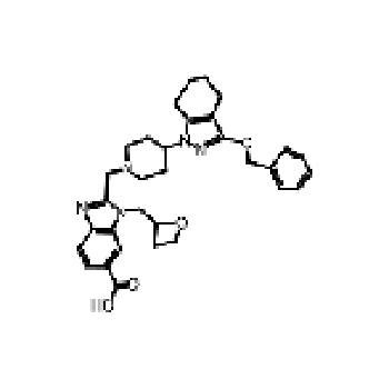 O=C(O)c1ccc2nc(CN3CCC(n4nc(OCc5ccccc5)c5c4CCCC5)CC3)n(CC3CCO3)c2c1